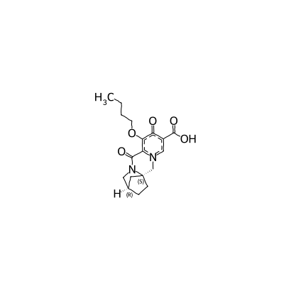 CCCCOc1c2n(cc(C(=O)O)c1=O)C[C@@]13CC[C@@H](CN1C2=O)C3